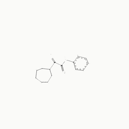 N=C(Nc1ccccc1)C(=O)C1CCCCCC1